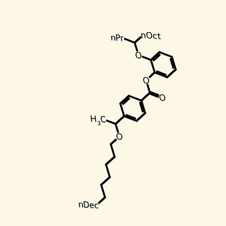 CCCCCCCCCCCCCCCCOC(C)c1ccc(C(=O)Oc2ccccc2OC(CCC)CCCCCCCC)cc1